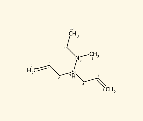 C=CC[SiH](CC=C)N(C)CC